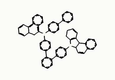 C1=CC2=c3ccccc3=C(N(c3ccc(-c4ccccc4)cc3)c3ccc(-c4ccccc4-c4ccc(N5C6=C(C=CCC6)C6c7ccccc7C=CC65)cc4)cc3)CC2C=C1